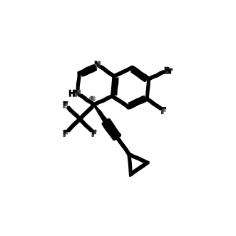 Fc1cc2c(cc1Br)N=CN[C@@]2(C#CC1CC1)C(F)(F)F